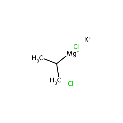 C[CH](C)[Mg+].[Cl-].[Cl-].[K+]